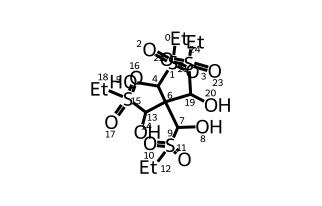 CCS(=O)(=O)C(O)C(C(O)S(=O)(=O)CC)(C(O)S(=O)(=O)CC)C(O)S(=O)(=O)CC